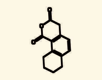 O=C1Cc2ccc3c(c2C(=O)O1)CCCC3